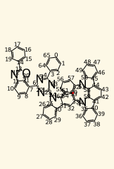 c1ccc(-c2nc(-c3cccc4nc(-c5ccccc5)oc34)nc(-n3c4ccccc4c4cc(-n5c6ccccc6c6ccc7c8ccccc8n(-c8ccccc8)c7c65)ccc43)n2)cc1